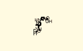 Cc1nc(N[C@H]2CCN(C(=O)O)C2)ccc1-c1noc(C(F)(F)F)n1